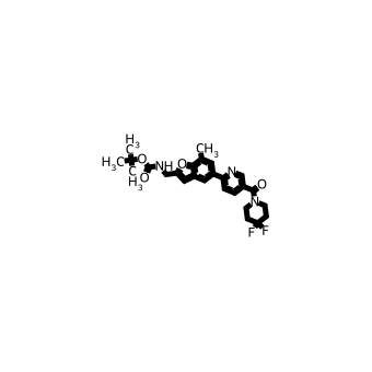 Cc1cc(-c2ccc(C(=O)N3CCC(F)(F)CC3)cn2)cc2cc(CNC(=O)OC(C)(C)C)oc12